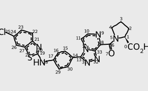 O=C(O)[C@@H]1CCCN1C(=O)c1nccn2c(-c3ccc(Nc4nc5ccc(Cl)cc5s4)cc3)nnc12